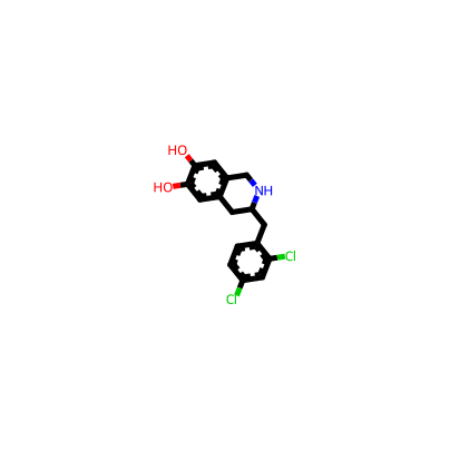 Oc1cc2c(cc1O)CC(Cc1ccc(Cl)cc1Cl)NC2